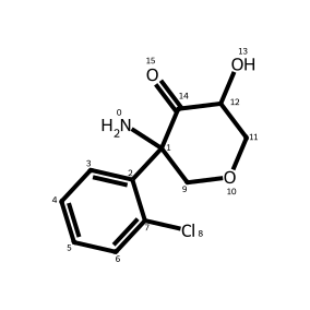 NC1(c2ccccc2Cl)COCC(O)C1=O